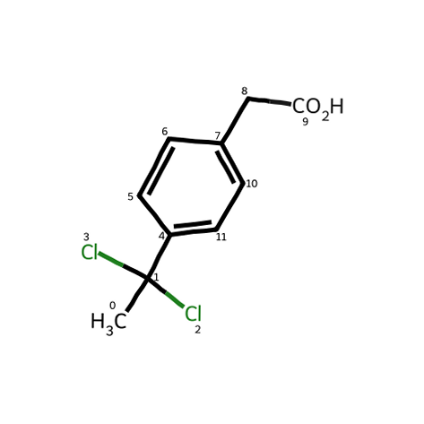 CC(Cl)(Cl)c1ccc(CC(=O)O)cc1